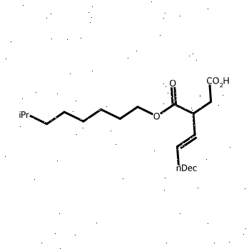 CCCCCCCCCCC=CC(CC(=O)O)C(=O)OCCCCCCC(C)C